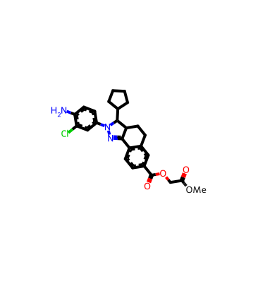 COC(=O)COC(=O)c1ccc2c(c1)CCC1C2=NN(c2ccc(N)c(Cl)c2)C1C1CCCC1